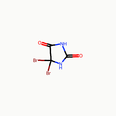 O=C1NC(=O)C(Br)(Br)N1